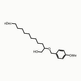 CCCCCCCCCCCCCCCCCCCC(CO)OCc1ccc(OC)cc1